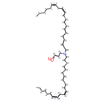 CCCCC/C=C\C/C=C\CCCCCCCCCCN(CCCO)CCCCCCCCCC/C=C\C/C=C\CCCCC